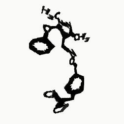 Cc1nn(C)c(Oc2ccccc2)c1C=NOCc1ccc(C=C(Cl)Cl)cc1